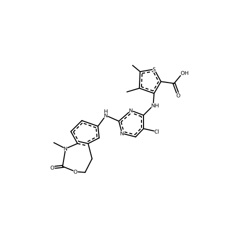 Cc1sc(C(=O)O)c(Nc2nc(Nc3ccc4c(c3)CCOC(=O)N4C)ncc2Cl)c1C